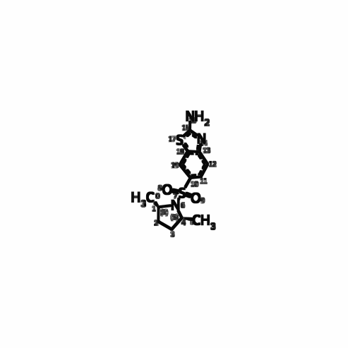 C[C@@H]1CC[C@H](C)N1S(=O)(=O)c1ccc2nc(N)sc2c1